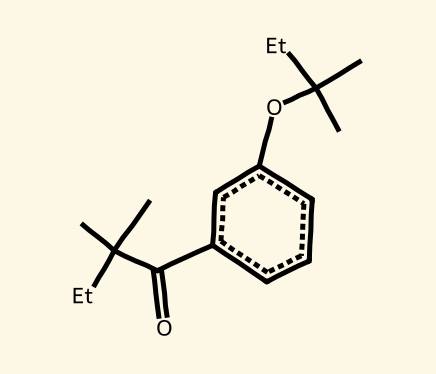 CCC(C)(C)Oc1cccc(C(=O)C(C)(C)CC)c1